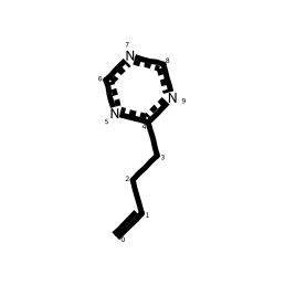 C=CCCc1ncncn1